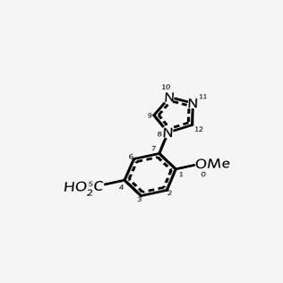 COc1ccc(C(=O)O)cc1-n1cnnc1